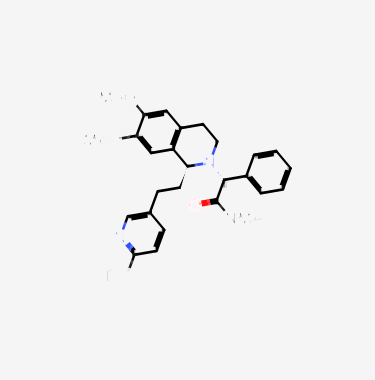 CNC(=O)[C@@H](c1ccccc1)N1CCc2cc(OC)c(OC)cc2[C@@H]1CCc1ccc(C(F)(F)F)nc1